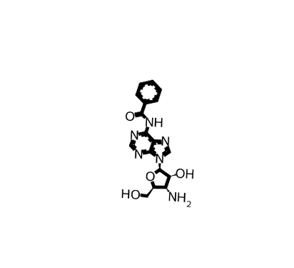 N[C@H]1[C@@H](O)[C@H](n2cnc3c(NC(=O)c4ccccc4)ncnc32)O[C@@H]1CO